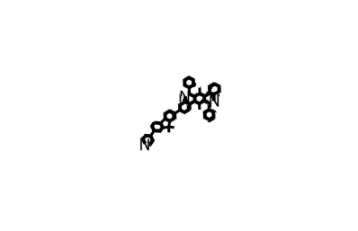 Cc1c2c(-c3ccccc3)nc3cc(-c4ccc5c(c4)C(C)(C)c4cc(-c6ccncc6)ccc4-5)ccc3c2c(C)c2c(-c3ccccc3)nc3ccccc3c12